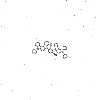 N#Cc1ccc(-n2c3ccccc3c3c4c5ccccc5n(-c5ccccc5)c4ccc32)c(C#N)c1-n1c2ccccc2c2c3c4ccccc4n(-c4ccccc4)c3ccc21